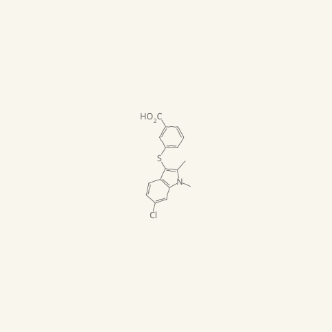 Cc1c(Sc2cccc(C(=O)O)c2)c2ccc(Cl)cc2n1C